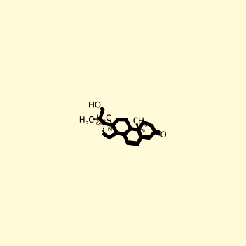 C[C@H](CO)[C@H]1CCC2C3C=CC4=CC(=O)CC[C@@]4(C)C3CC[C@@]21C